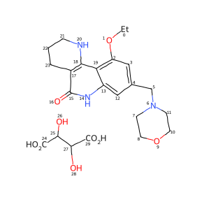 CCOc1cc(CN2CCOCC2)cc2[nH]c(=O)c3c(c12)NCCC3.O=C(O)C(O)C(O)C(=O)O